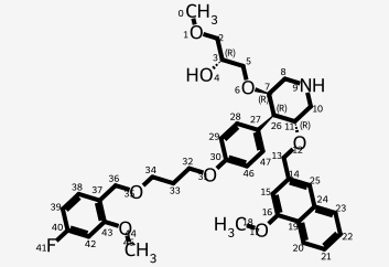 COC[C@@H](O)CO[C@H]1CNC[C@H](OCc2cc(OC)c3ccccc3c2)[C@H]1c1ccc(OCCCOCc2ccc(F)cc2OC)cc1